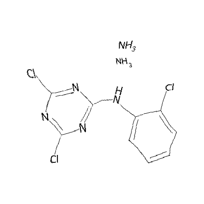 Clc1nc(Cl)nc(Nc2ccccc2Cl)n1.N.N